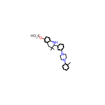 Cc1ccccc1N1CCN(c2cccc(C3Nc4ccc(OC(=O)O)cc4CC3(C)C)c2)CC1